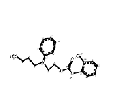 CCCCN(CCOC(=O)Oc1ccccc1Cl)c1ccccc1